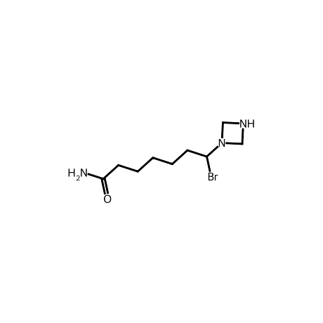 NC(=O)CCCCCC(Br)N1CNC1